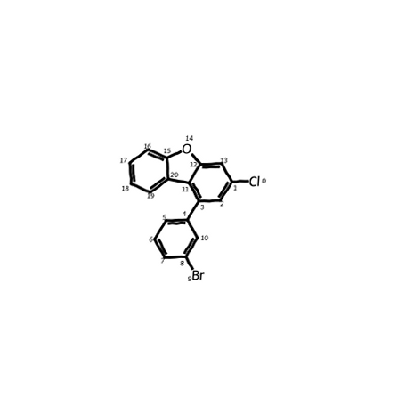 Clc1cc(-c2cccc(Br)c2)c2c(c1)oc1ccccc12